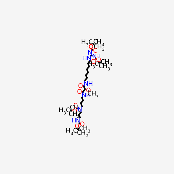 COC(C(=O)NCCCCCCCCN/C(=N/C(=O)OC(C)(C)C)NC(=O)OC(C)(C)C)C(=O)NCCCCN(CCCNC(=O)OC(C)(C)C)C(=O)OC(C)(C)C